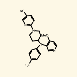 COc1ccncc1N(c1ccc(C(F)(F)F)cc1)C1CCN(c2ncc(C#N)cn2)CC1